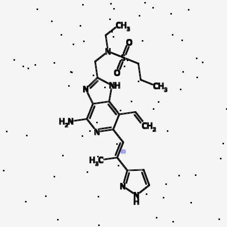 C=Cc1c(/C=C(\C)c2cc[nH]n2)nc(N)c2nc(CN(CC)S(=O)(=O)CCC)[nH]c12